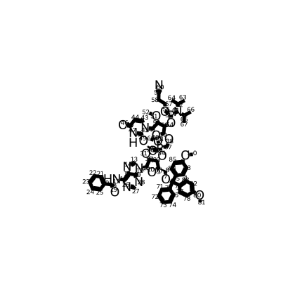 COc1ccc(C(OC[C@H]2O[C@@H](n3cnc4c(NC(=O)c5ccccc5)ncnc43)[C@@H](OC)C2OP(=O)(COC2OC(n3ccc(=O)[nH]c3=O)C(OC)C2OP(OCCC#N)N(C(C)C)C(C)C)OC)(c2ccccc2)c2ccc(OC)cc2)cc1